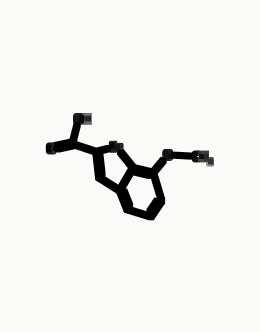 COc1cccc2cc(C(=O)O)[se]c12